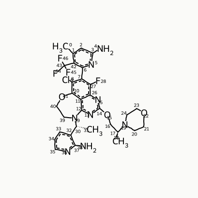 Cc1cc(N)nc(-c2c(Cl)c3c4c(nc(OC[C@H](C)N5CCOCC5)nc4c2F)N([C@H](C)c2cccnc2N)CCO3)c1C(F)(F)F